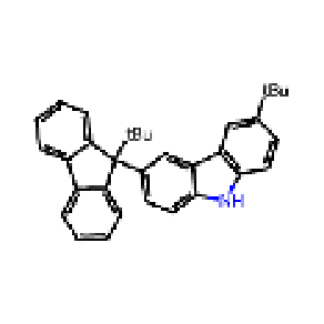 CC(C)(C)c1ccc2[nH]c3ccc(C4(C(C)(C)C)c5ccccc5-c5ccccc54)cc3c2c1